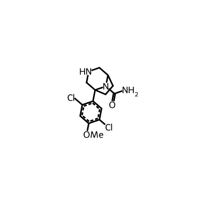 COc1cc(Cl)c(C23CCC(CNC2)N3C(N)=O)cc1Cl